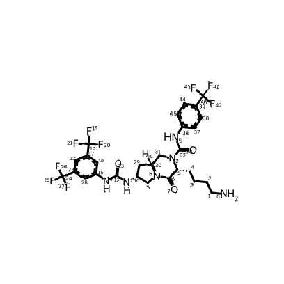 NCCCC[C@@H]1C(=O)N2C[C@H](NC(=O)Nc3cc(C(F)(F)F)cc(C(F)(F)F)c3)C[C@@H]2CN1C(=O)Nc1ccc(C(F)(F)F)cc1